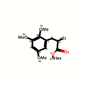 CCCCCCOC(=O)C(CC)Cc1cc(OC)cc(OC)c1OC